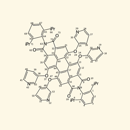 CC(C)c1cccc(C(C)C)c1N1C(=O)c2cc(Oc3cccnc3)c3c4c(Oc5cccnc5)cc5c6c(cc(Oc7cccnc7)c(c7c(Oc8cccnc8)cc(c2c37)C1=O)c64)C(=O)N(c1c(C(C)C)cccc1C(C)C)C5=O